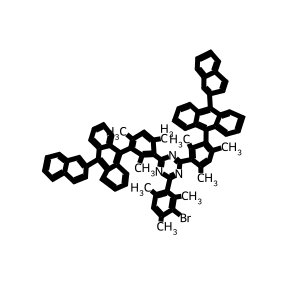 Cc1cc(C)c(-c2nc(-c3c(C)cc(C)c(-c4c5ccccc5c(-c5ccc6ccccc6c5)c5ccccc45)c3C)nc(-c3c(C)cc(C)c(-c4c5ccccc5c(-c5ccc6ccccc6c5)c5ccccc45)c3C)n2)c(C)c1Br